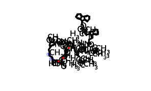 COc1cc2cc(c1Cl)N(C)C(=O)C[C@H](OC(=O)[C@H](C)N(C)C(=O)CCN(CCO[Si](C)(C)C(C)(C)C)C(=O)CN(CCO[Si](C)(C)C(C)(C)C)C(=O)CNC(=O)CCn1c(CN(C)N(C)C(=O)OCC3c4ccccc4-c4ccccc43)cc3ccccc31)[C@@]1(C)O[C@H]1[C@H](C)[C@@H]1C[C@@](O)(NC(=O)O1)[C@H](C)/C=C/C=C(\C)C2